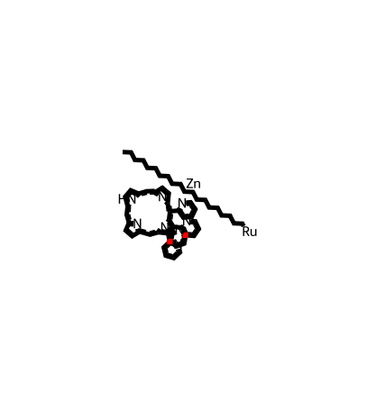 C1=Cc2cc3c(-c4ccccn4)c(-c4ccccn4)c(c(-c4ccccn4)c4nc(cc5ccc(cc1n2)[nH]5)C=C4)n3-c1ccccn1.CCCCCCCCCCCCCCCCCCC[CH2][Ru].[Zn]